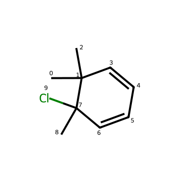 CC1(C)C=CC=CC1(C)Cl